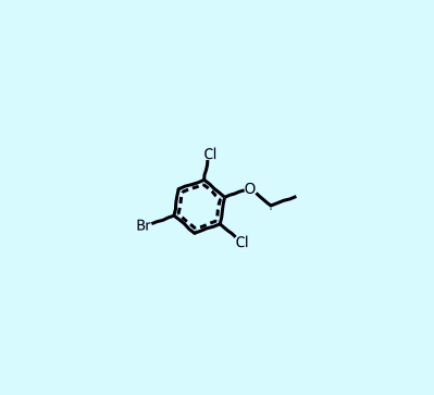 C[CH]Oc1c(Cl)cc(Br)cc1Cl